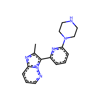 Cc1nc2cccnn2c1-c1cccc(N2CCNCC2)n1